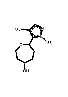 Cn1ncc([N+](=O)[O-])c1C1CC[C@@H](O)CCO1